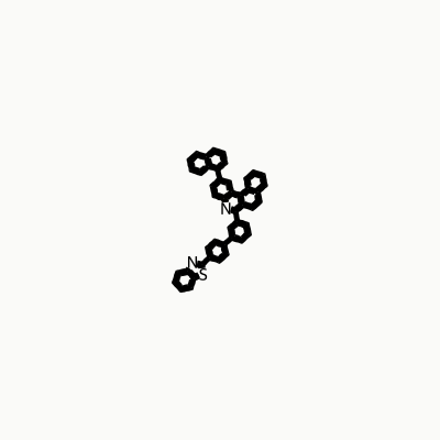 c1cc(-c2ccc(-c3nc4ccccc4s3)cc2)cc(-c2nc3ccc(-c4cccc5ccccc45)cc3c3c2ccc2ccccc23)c1